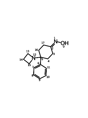 ON=C1CCC(c2ccccc2)(N2CCC2)CC1